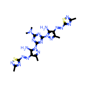 Cc1nsc(N=Nc2c(C)nn(-c3nc(N(C)C)nc(-n4nc(C)c(N=Nc5nc(C)ns5)c4N)n3)c2N)n1